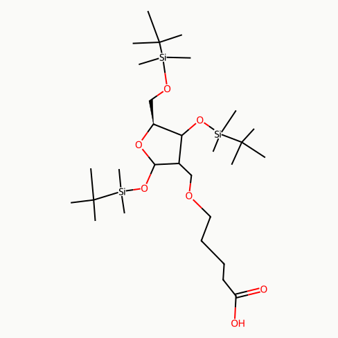 CC(C)(C)[Si](C)(C)OC[C@@H]1OC(O[Si](C)(C)C(C)(C)C)C(COCCCCC(=O)O)C1O[Si](C)(C)C(C)(C)C